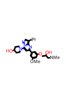 CNCC(O)COc1cc(OC)cc(-c2cc(N3CCC(O)CC3)n3ncc(C(C)C)c3n2)c1